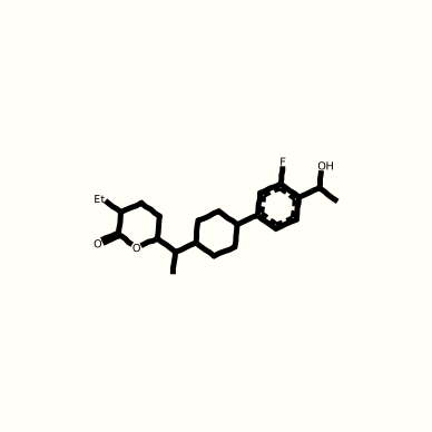 CCC1CCC(C(C)C2CCC(c3ccc(C(C)O)c(F)c3)CC2)OC1=O